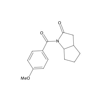 COc1ccc(C(=O)N2C(=O)CC3CCCC32)cc1